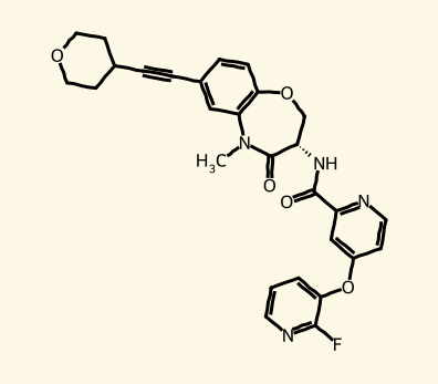 CN1C(=O)[C@@H](NC(=O)c2cc(Oc3cccnc3F)ccn2)COc2ccc(C#CC3CCOCC3)cc21